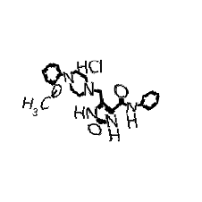 COc1ccccc1N1CCN(Cc2[nH]c(=O)[nH]c2C(=O)Nc2ccccc2)CC1.Cl